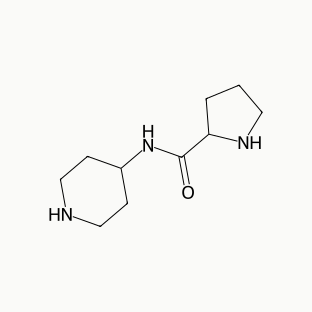 O=C(NC1CCNCC1)C1CCCN1